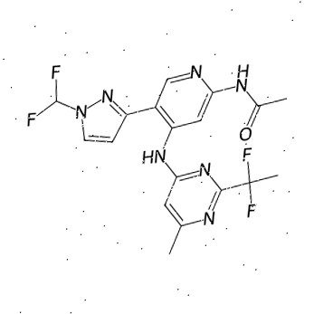 CC(=O)Nc1cc(Nc2cc(C)nc(C(C)(F)F)n2)c(-c2ccn(C(F)F)n2)cn1